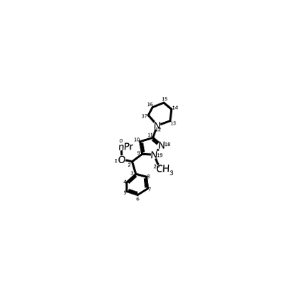 CCCOC(c1ccccc1)c1cc(N2CCCCC2)nn1C